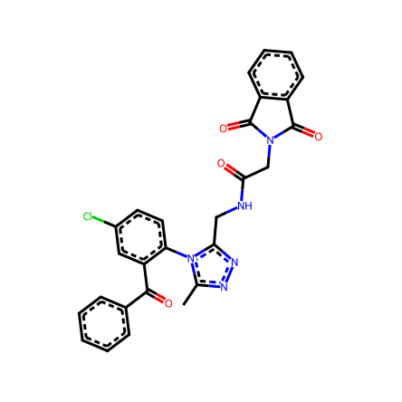 Cc1nnc(CNC(=O)CN2C(=O)c3ccccc3C2=O)n1-c1ccc(Cl)cc1C(=O)c1ccccc1